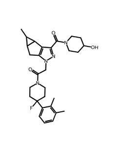 Cc1cccc(C2(F)CCN(C(=O)Cn3nc(C(=O)N4CCC(O)CC4)c4c3CC3C(C)C43)CC2)c1C